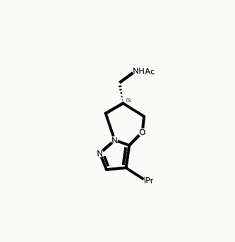 CC(=O)NC[C@@H]1COc2c(C(C)C)cnn2C1